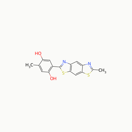 Cc1nc2cc3nc(-c4cc(O)c(C)cc4O)sc3cc2s1